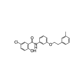 Cc1cccc(CCOc2cccc(NC(=O)c3cc(Cl)ccc3O)c2)c1